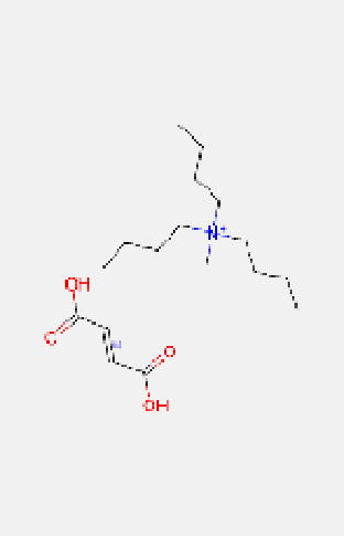 CCCC[N+](C)(CCCC)CCCC.O=C(O)/C=C/C(=O)O